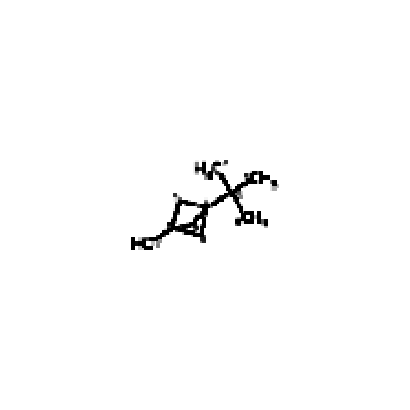 CC(C)(C)C12CC(O)(C1)C2